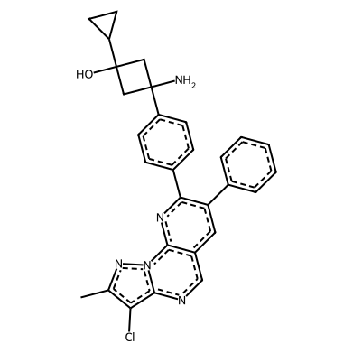 Cc1nn2c(ncc3cc(-c4ccccc4)c(-c4ccc(C5(N)CC(O)(C6CC6)C5)cc4)nc32)c1Cl